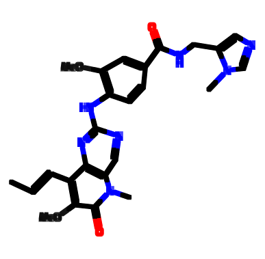 CC=Cc1c(OC)c(=O)n(C)c2cnc(Nc3ccc(C(=O)NCc4cncn4C)cc3OC)nc12